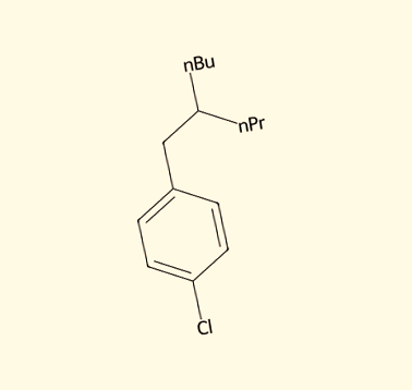 CCCCC(CCC)Cc1ccc(Cl)cc1